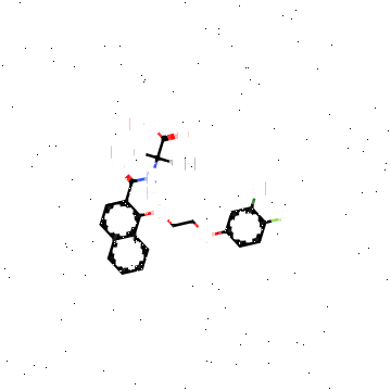 CC(C)(NC(=O)c1ccc2ccccc2c1OCCOc1ccc(F)c(Cl)c1)C(=O)O